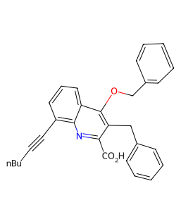 CCCCC#Cc1cccc2c(OCc3ccccc3)c(Cc3ccccc3)c(C(=O)O)nc12